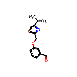 CC(C)c1csc(COc2cccc(C=O)c2)n1